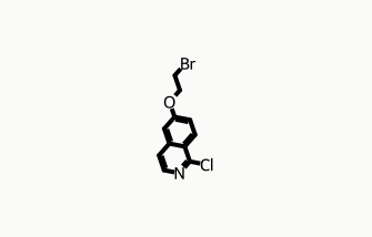 Clc1nccc2cc(OCCBr)ccc12